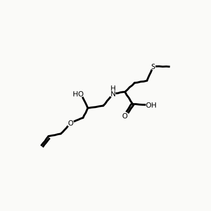 C=CCOCC(O)CNC(CCSC)C(=O)O